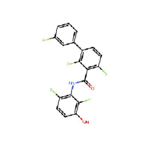 O=C(Nc1c(F)ccc(O)c1F)c1c(F)ccc(-c2cccc(F)c2)c1F